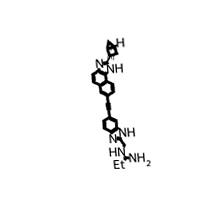 CCC(N)NCc1nc2ccc(C#Cc3ccc4c(ccc5nc([C@@H]6C[C@H]7CC76)[nH]c54)c3)cc2[nH]1